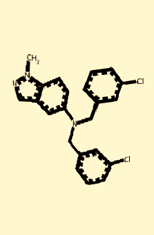 Cn1ncc2cc(N(Cc3cccc(Cl)c3)Cc3cccc(Cl)c3)ccc21